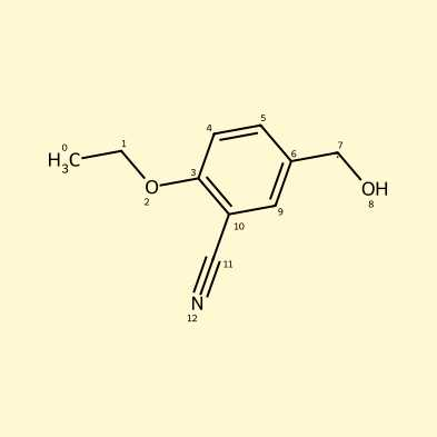 CCOc1ccc([CH]O)cc1C#N